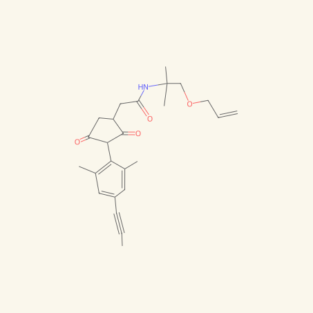 C=CCOCC(C)(C)NC(=O)CC1CC(=O)C(c2c(C)cc(C#CC)cc2C)C1=O